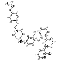 COCc1ccc(CCN2CCC(Nc3ccc4c(c3)Cc3cccc(C5CN(c6ccc[nH]c6=O)CCO5)c3O4)CC2)cc1